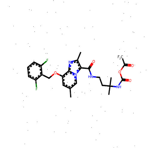 Cc1cc(OCc2c(F)cccc2F)c2nc(C)c(C(=O)NCCC(C)(C)NC(=O)OC(=O)C(F)(F)F)n2c1